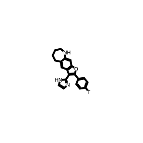 Fc1ccc(-c2oc3cc4c(cc3c2-c2ncc[nH]2)CCCCN4)cc1